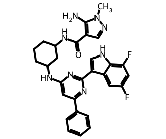 Cn1ncc(C(=O)NC2CCCC(Nc3cc(-c4ccccc4)nc(-c4c[nH]c5c(F)cc(F)cc45)n3)C2)c1N